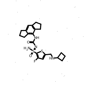 NS(=O)(=NC(=O)Nc1c2c(cc3c1CCC3)CCC2)c1sc(CNC2CCC2)cc1F